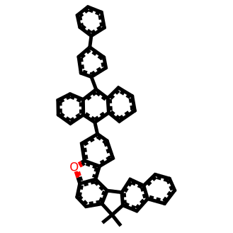 CC1(C)c2cc3ccccc3cc2-c2c1ccc1oc3cc(-c4c5ccccc5c(-c5ccc(-c6ccccc6)cc5)c5ccccc45)ccc3c21